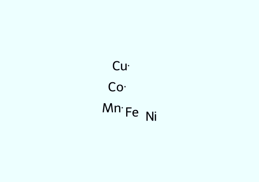 [Co].[Cu].[Fe].[Mn].[Ni]